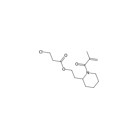 C=C(C)C(=O)N1CCCCC1CCOC(=O)CCCl